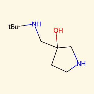 CC(C)(C)NCC1(O)CCNC1